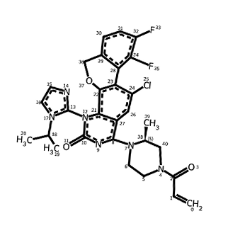 C=CC(=O)N1CCN(c2nc(=O)n(-c3nccn3C(C)C)c3c4c(c(Cl)cc23)-c2c(ccc(F)c2F)CO4)[C@@H](C)C1